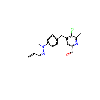 C=C/C=N\N(C)c1ccc(Cc2cc(C=O)nc(C)c2Cl)cc1